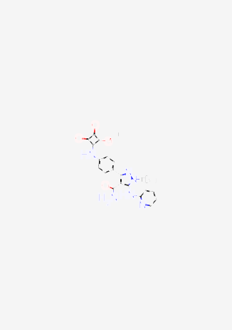 CCOc1c(Nc2ccc(-c3nn(C(C)(C)C)c(Nc4ccccn4)c3C(N)=O)cc2)c(=O)c1=O